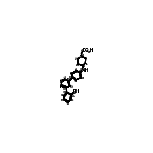 O=C(O)CN1CCC(Nc2ccc(-c3cnnc(-c4ccccc4O)c3)cc2)CC1